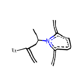 C=C(CC)C(C)n1c(=C)ccc1=C